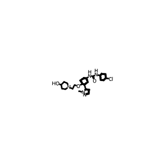 Cn1nccc1-c1cc(NC(=O)Nc2ccc(Cl)cc2)ccc1OCCN1CCC(O)CC1